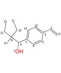 C=Cc1ccc(C(O)C(C)(CC)CC)cc1